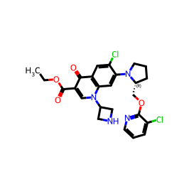 CCOC(=O)c1cn(C2CNC2)c2cc(N3CCC[C@@H]3COc3ncccc3Cl)c(Cl)cc2c1=O